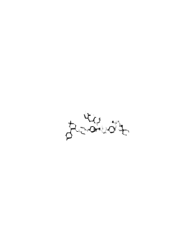 CC1(C)CCC(CN2CCN(c3ccc(C(=O)NS(=O)(=O)c4ccc(NCC5(C#N)CCOCC5)c([N+](=O)[O-])c4)c(N4CCOc5nc6[nH]ccc6cc54)c3)CC2)=C(c2ccc(Cl)cc2)C1